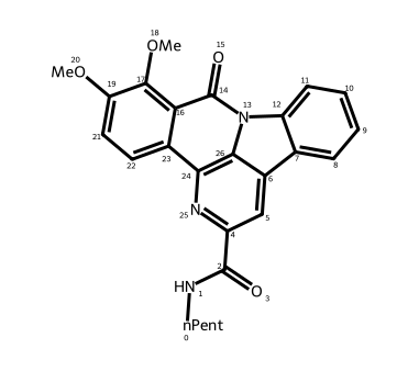 CCCCCNC(=O)c1cc2c3ccccc3n3c(=O)c4c(OC)c(OC)ccc4c(n1)c23